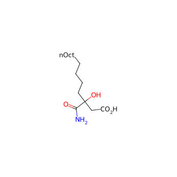 CCCCCCCCCCCCC(O)(CC(=O)O)C(N)=O